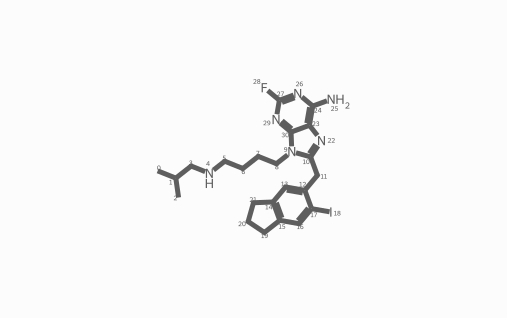 CC(C)CNCCCCn1c(Cc2cc3c(cc2I)CCC3)nc2c(N)nc(F)nc21